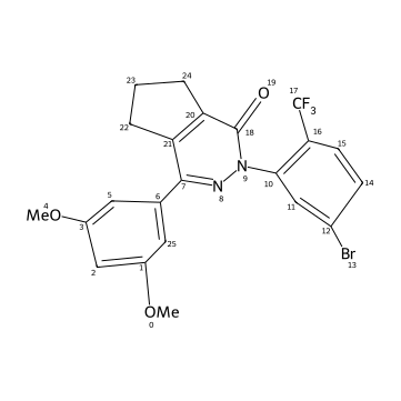 COc1cc(OC)cc(-c2nn(-c3cc(Br)ccc3C(F)(F)F)c(=O)c3c2CCC3)c1